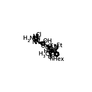 CCCCCCOC(=O)[C@H](C)NP(=O)(Oc1ccccc1CCN(CC)CC)OP(=O)(O)OC[C@H]1OC2C([C@@H]2n2cnc3c(N)nc(Cl)nc32)[C@H]1O